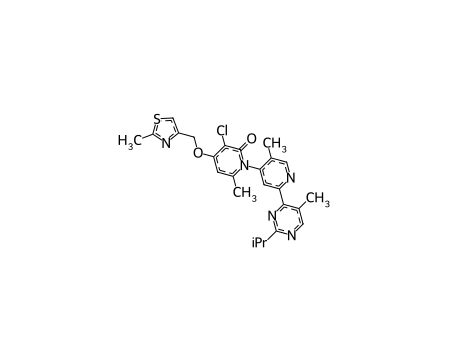 Cc1nc(COc2cc(C)n(-c3cc(-c4nc(C(C)C)ncc4C)ncc3C)c(=O)c2Cl)cs1